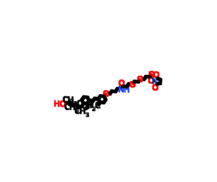 C=C1CC[C@H](OCCCCNC(=O)CCOCCOCCC(=O)ON2C(=O)CCC2=O)C/C1=C/C=C1\CCC[C@]2(C)[C@@H]([C@H](C)CCCC(C)(C)O)CC[C@@H]12